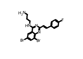 NCCCNc1nc(C=Cc2ccc(F)cc2)nc2c(Br)cc(Br)cc12